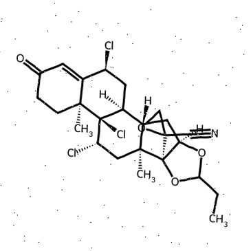 CCC1O[C@@H]2C[C@H]3[C@@H]4C[C@H](Cl)C5=CC(=O)CC[C@]5(C)[C@@]4(Cl)[C@@H](Cl)C[C@]3(C)[C@]2(C2(C#N)CO2)O1